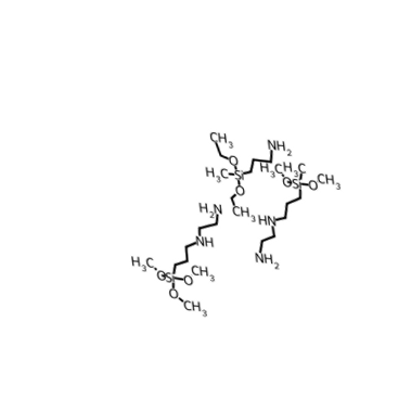 CCO[Si](C)(CCCN)OCC.CO[Si](C)(CCCNCCN)OC.CO[Si](CCCNCCN)(OC)OC